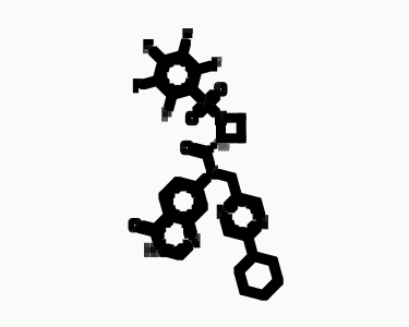 O=C([C@H]1CCN1S(=O)(=O)c1c(F)c(F)c(F)c(F)c1F)N(Cc1cnc(C2CCCCC2)cn1)c1ccc2c(=O)[nH]cnc2c1